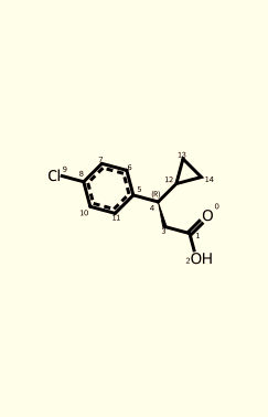 O=C(O)C[C@@H](c1ccc(Cl)cc1)C1CC1